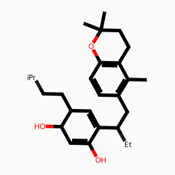 CCC(Cc1ccc2c(c1C)CCC(C)(C)O2)C1=CC(CCC(C)C)C(O)C=C1O